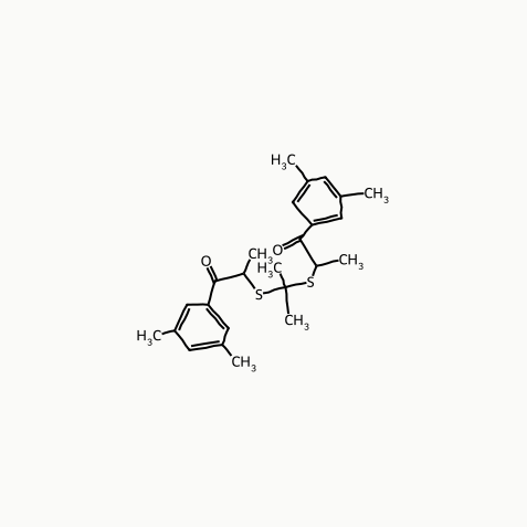 Cc1cc(C)cc(C(=O)C(C)SC(C)(C)SC(C)C(=O)c2cc(C)cc(C)c2)c1